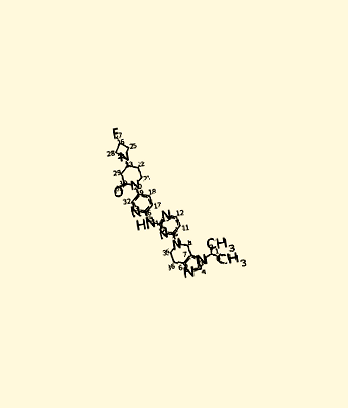 CC(C)n1cnc2c1CN(c1ccnc(Nc3ccc(N4CCC(N5CC(F)C5)CC4=O)cn3)n1)CC2